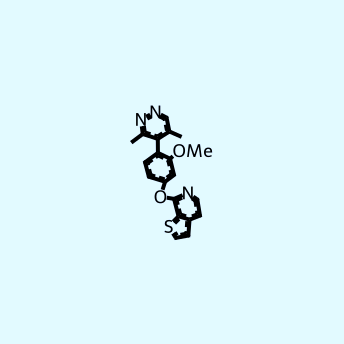 COc1cc(Oc2nccc3ccsc23)ccc1-c1c(C)cnnc1C